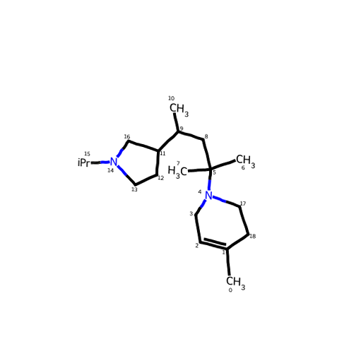 CC1=CCN(C(C)(C)CC(C)C2CCN(C(C)C)C2)CC1